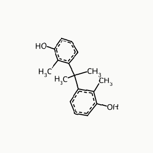 Cc1c(O)cccc1C(C)(C)c1cccc(O)c1C